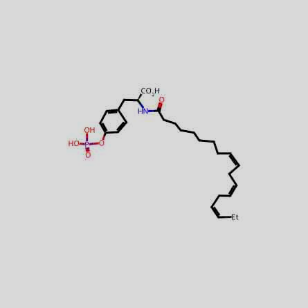 CC/C=C\C/C=C\C/C=C\CCCCCCCC(=O)N[C@@H](Cc1ccc(OP(=O)(O)O)cc1)C(=O)O